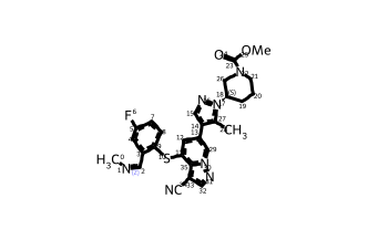 C/N=C\c1cc(F)ccc1Sc1cc(-c2cnn([C@H]3CCCN(C(=O)OC)C3)c2C)cn2ncc(C#N)c12